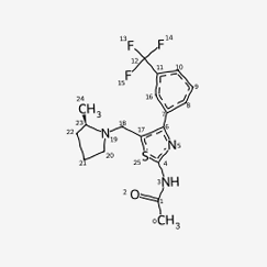 CC(=O)Nc1nc(-c2cccc(C(F)(F)F)c2)c(CN2CCC[C@H]2C)s1